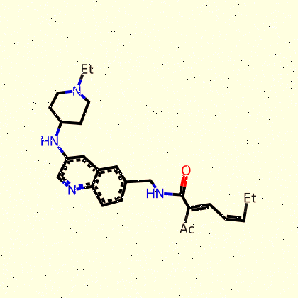 CC/C=C\C=C(/C(C)=O)C(=O)NCc1ccc2ncc(NC3CCN(CC)CC3)cc2c1